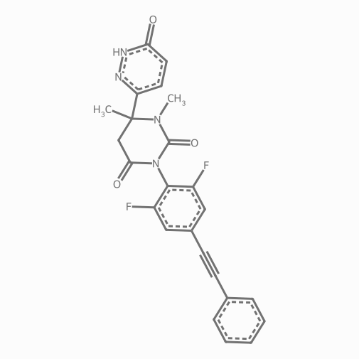 CN1C(=O)N(c2c(F)cc(C#Cc3ccccc3)cc2F)C(=O)CC1(C)c1ccc(=O)[nH]n1